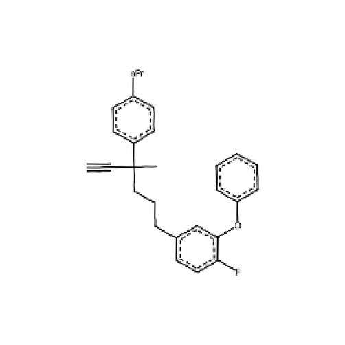 C#CC(C)(CCCc1ccc(F)c(Oc2ccccc2)c1)c1ccc(CCC)cc1